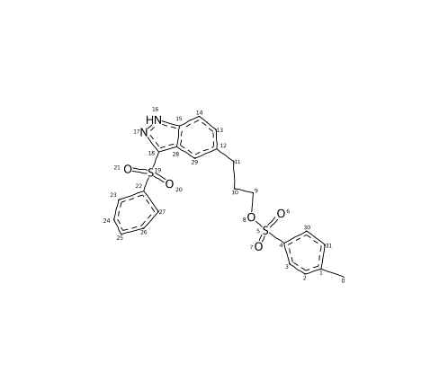 Cc1ccc(S(=O)(=O)OCCCc2ccc3[nH]nc(S(=O)(=O)c4ccccc4)c3c2)cc1